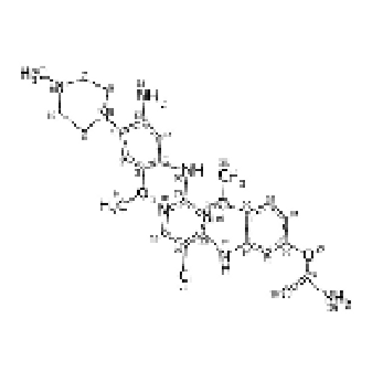 COc1cc(N2CCN(C)CC2)c(N)cc1Nc1ncc(Cl)c(Nc2cc(OC(N)=O)ccc2OC)n1